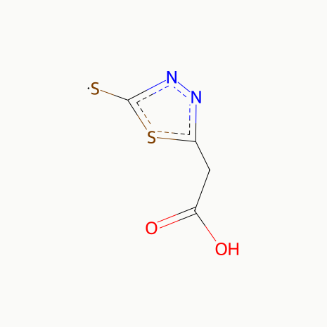 O=C(O)Cc1nnc([S])s1